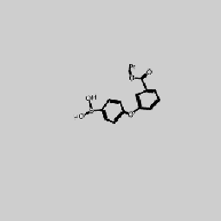 CC(C)OC(=O)c1cccc(Oc2ccc(B(O)O)cc2)c1